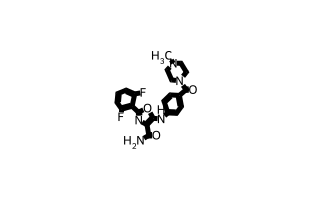 CN1CCN(C(=O)c2ccc(Nc3oc(-c4c(F)cccc4F)nc3C(N)=O)cc2)CC1